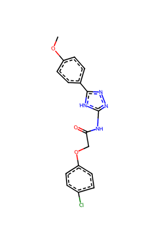 COc1ccc(-c2nnc(NC(=O)COc3ccc(Cl)cc3)[nH]2)cc1